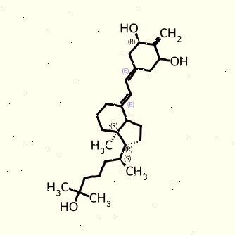 C=C1C(O)C/C(=C\C=C2/CCC[C@@]3(C)C2CC[C@@H]3[C@@H](C)CCCC(C)(C)O)C[C@H]1O